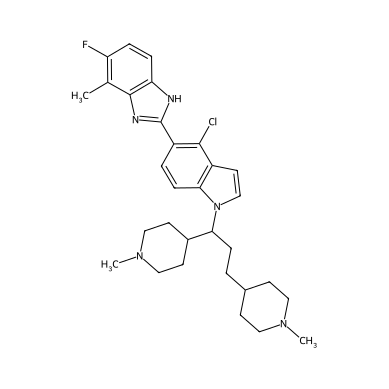 Cc1c(F)ccc2[nH]c(-c3ccc4c(ccn4C(CCC4CCN(C)CC4)C4CCN(C)CC4)c3Cl)nc12